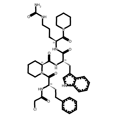 NC(=O)NCCC[C@H](NC(=O)[C@H](Cc1c[nH]c2ccccc12)NC(=O)[C@@H]1CCCCN1C(=O)[C@H](CCc1ccccc1)NC(=O)CCl)C(=O)N1CCCCC1